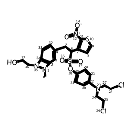 Cn1c2cc(CC(c3ccsc3[N+](=O)[O-])S(=O)(=O)Oc3ccc(N(CCCl)CCCl)cc3)ccc2n1CCO